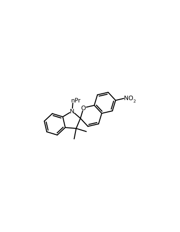 CCCN1c2ccccc2C(C)(C)C12C=Cc1cc([N+](=O)[O-])ccc1O2